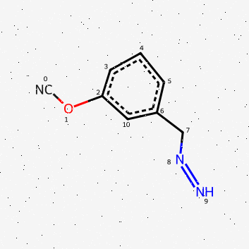 N#COc1cccc(CN=N)c1